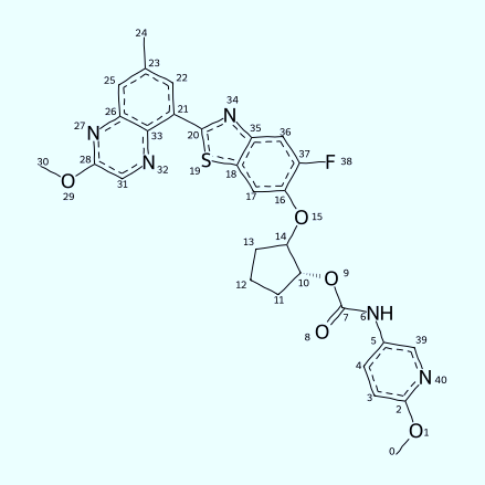 COc1ccc(NC(=O)O[C@@H]2CCCC2Oc2cc3sc(-c4cc(C)cc5nc(OC)cnc45)nc3cc2F)cn1